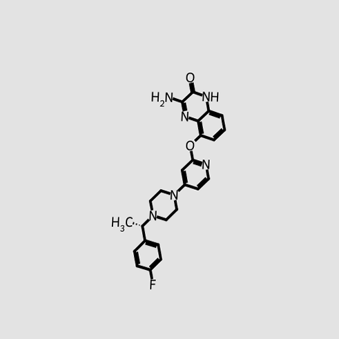 C[C@@H](c1ccc(F)cc1)N1CCN(c2ccnc(Oc3cccc4[nH]c(=O)c(N)nc34)c2)CC1